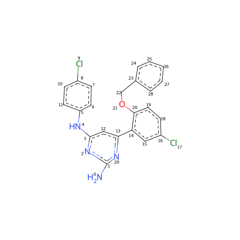 Nc1nc(Nc2ccc(Cl)cc2)cc(-c2cc(Cl)ccc2OCc2ccccc2)n1